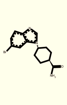 NC(=O)[C@H]1CC[C@H](n2cnc3ccc(Br)cc32)CC1